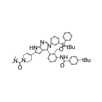 CN(C)C(=O)N1CC=C(c2cc3c(-c4cccc(NC(=O)c5ccc(C(C)(C)C)cc5)c4CO[Si](c4ccccc4)(c4ccccc4)C(C)(C)C)ncnc3[nH]2)CC1